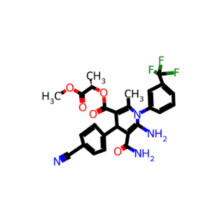 COC(=O)[C@H](C)OC(=O)C1=C(C)N(c2cccc(C(F)(F)F)c2)C(N)=C(C(N)=O)C1c1ccc(C#N)cc1